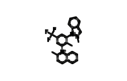 Cc1c(-[n+]2c(C)ccc3ccccc32)cc(C(F)(F)F)cc1-[n+]1c2ccccc2cn1C